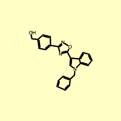 OCc1ccc(-c2noc(-c3cn(Cc4ccccc4)c4ccccc34)n2)cc1